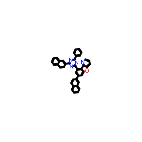 c1ccc(-c2nc(-c3ccc4ccccc4c3)nc(-c3cc(-c4ccc5ccccc5c4)cc4oc5cccnc5c34)n2)cc1